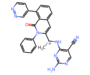 C[C@@H](Nc1nc(N)ncc1C#N)c1cc2cccc(-c3ccnnc3)c2c(=O)n1-c1ccccc1